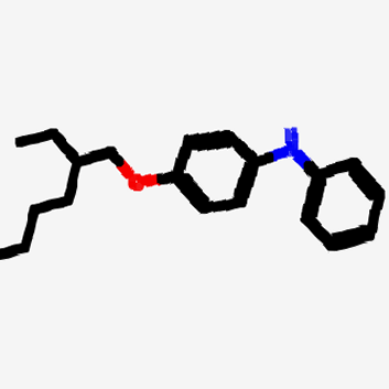 CCCCC(CC)COc1ccc(Nc2ccccc2)cc1